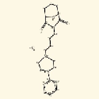 Cl.O=C1C2CCCC(S2)C(=O)N1CCCCN1CCN(c2ncccn2)CC1